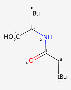 CCC(C)C(NC(=O)CC(C)(C)C)C(=O)O